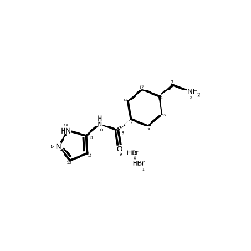 Br.Br.NC[C@H]1CC[C@H](C(=O)Nc2ccn[nH]2)CC1